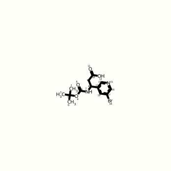 CC(C)(C)OC(=O)NC(CC(=O)O)c1cncc(Br)c1